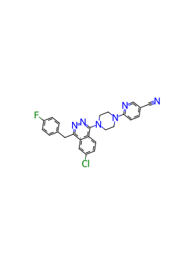 N#Cc1ccc(N2CCN(c3nnc(Cc4ccc(F)cc4)c4cc(Cl)ccc34)CC2)nc1